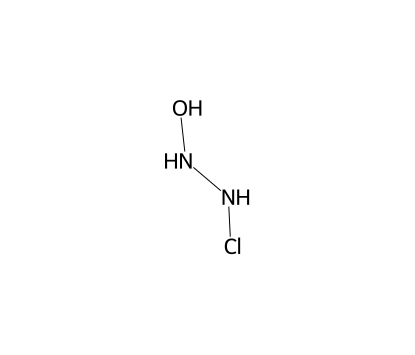 ONNCl